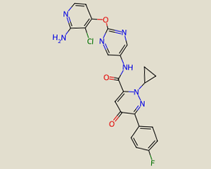 Nc1nccc(Oc2ncc(NC(=O)c3cc(=O)c(-c4ccc(F)cc4)nn3C3CC3)cn2)c1Cl